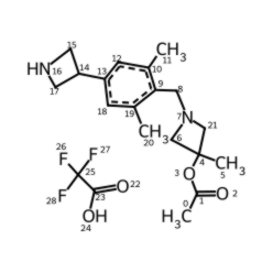 CC(=O)OC1(C)CN(Cc2c(C)cc(C3CNC3)cc2C)C1.O=C(O)C(F)(F)F